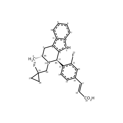 C[C@@H]1Cc2c([nH]c3ccccc23)[C@@H](c2ccc(C=CC(=O)O)cc2F)N1CC1(F)CC1